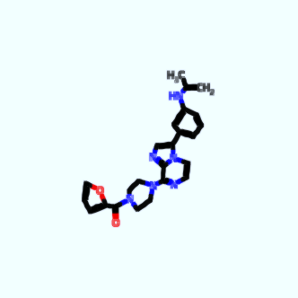 C=C(C)Nc1cccc(-c2cnc3c(N4CCN(C(=O)c5ccco5)CC4)nccn23)c1